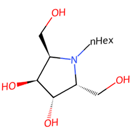 CCCCCCN1[C@H](CO)[C@H](O)[C@@H](O)[C@H]1CO